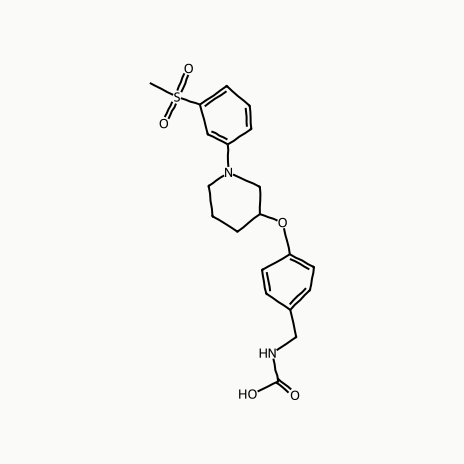 CS(=O)(=O)c1cccc(N2CCCC(Oc3ccc(CNC(=O)O)cc3)C2)c1